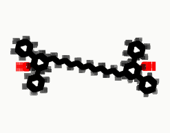 Oc1c(-c2ccccc2)cc(CCCCCCCCCCCCc2cc(-c3ccccc3)c(O)c(-c3ccccc3)c2)cc1-c1ccccc1